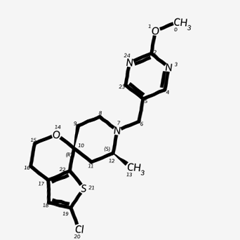 COc1ncc(CN2CC[C@]3(C[C@@H]2C)OCCc2cc(Cl)sc23)cn1